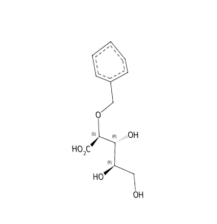 O=C(O)[C@@H](OCc1ccccc1)[C@H](O)[C@H](O)CO